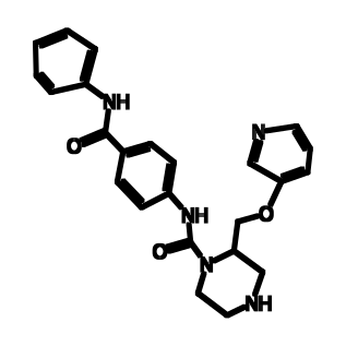 O=C(Nc1ccccc1)c1ccc(NC(=O)N2CCNCC2COc2cccnc2)cc1